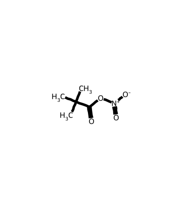 CC(C)(C)C(=O)O[N+](=O)[O-]